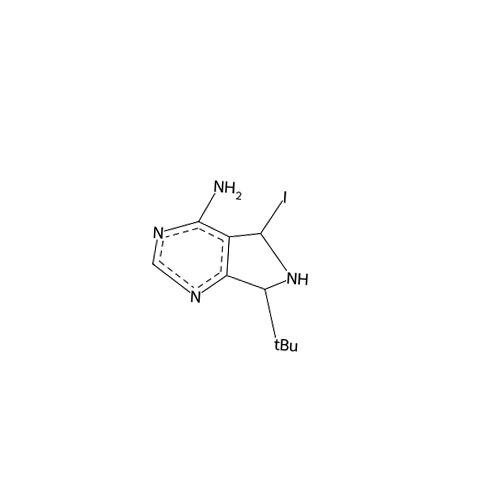 CC(C)(C)C1NC(I)c2c(N)ncnc21